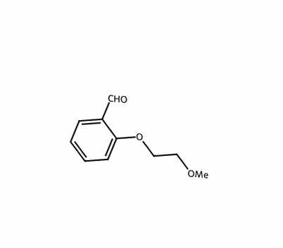 COCCOc1ccccc1C=O